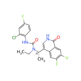 CCN(C(=O)Nc1ccc(F)cc1Cl)[C@@H](C)c1c[nH]c(=O)c2cc(F)c(F)cc12